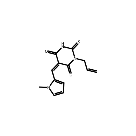 C=CCN1C(=O)/C(=C\c2cccn2C)C(=O)NC1=S